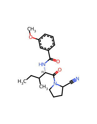 CCC(C)[C@H](NC(=O)c1cccc(OC)c1)C(=O)N1CCCC1C#N